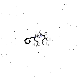 CCC/C(Cc1ccccc1)=N\N=C(/C)C(=O)[C@H](C)CC